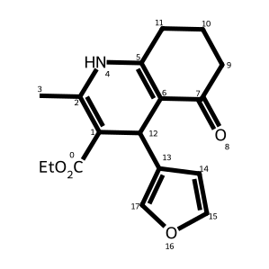 CCOC(=O)C1=C(C)NC2=C(C(=O)CCC2)C1c1ccoc1